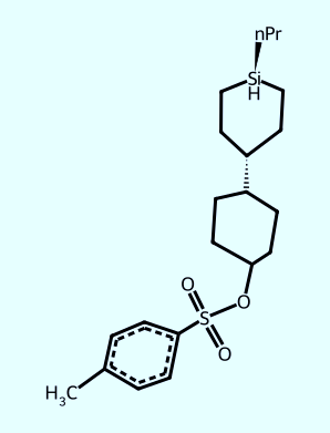 CCC[Si@H]1CC[C@H](C2CCC(OS(=O)(=O)c3ccc(C)cc3)CC2)CC1